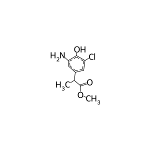 COC(=O)C(C)c1cc(N)c(O)c(Cl)c1